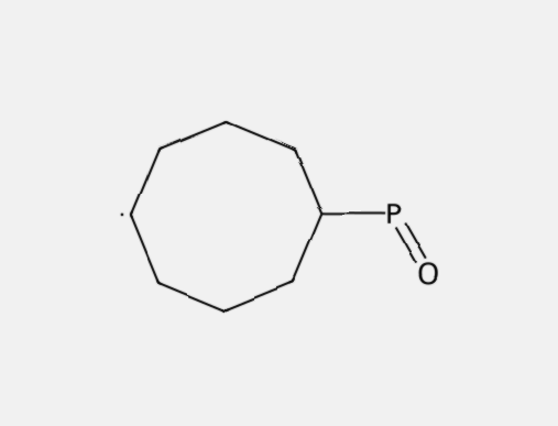 O=PC1CCC[CH]CCC1